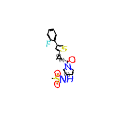 CS(=O)(=O)N[C@H]1CCN(C(=O)[C@@H]2C[C@H]2c2cc(-c3ccccc3F)cs2)C1